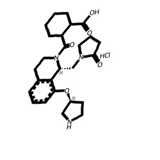 Cl.O=C(O)C1CCCCC1C(=O)N1CCc2cccc(O[C@H]3CCNC3)c2[C@H]1CN1CCCC1=O